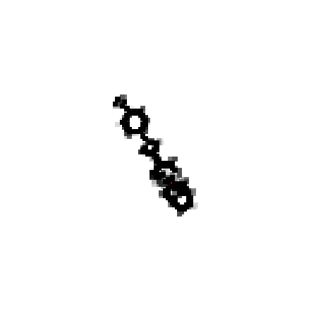 CC(=O)[C@H]1CC[C@H](N2CC(c3cnc(N4C5CCC4CN(C)C5)nc3)C2)CC1